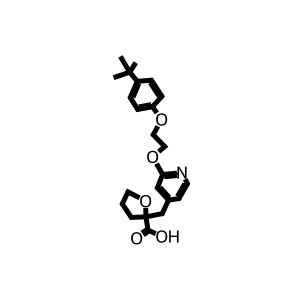 CC(C)(C)c1ccc(OCCOc2cc(CC3(C(=O)O)CCCO3)ccn2)cc1